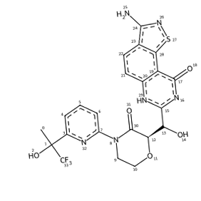 CC(O)(c1cccc(N2CCO[C@H](C(O)c3nc(=O)c4c(ccc5c(N)nsc54)[nH]3)C2=O)n1)C(F)(F)F